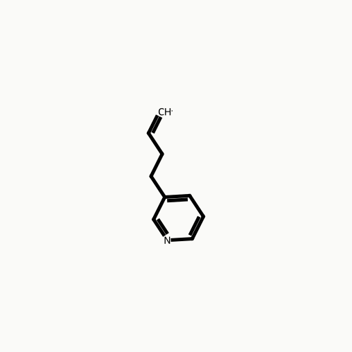 [CH]=CCCc1cccnc1